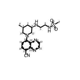 C[C@H]1C[C@@H](NCCNS(C)(=O)=O)CN(c2ccc(C#N)c3nccnc23)C1